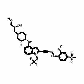 COC[C@@H](O)CN1CC[C@H](Nc2cccc3c2cc(C#CCNc2ccc(S(C)(=O)=O)cc2OC)n3CC(F)(F)F)[C@H](F)C1